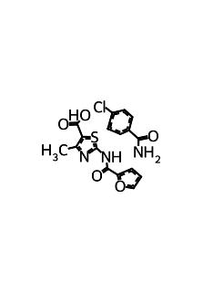 Cc1nc(NC(=O)c2ccco2)sc1C(=O)O.NC(=O)c1ccc(Cl)cc1